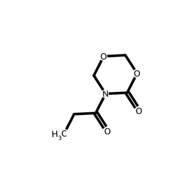 CCC(=O)N1COCOC1=O